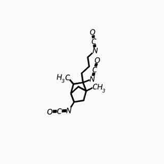 CC1C2CC(C)(CC2N=C=O)C1(CCCN=C=O)N=C=O